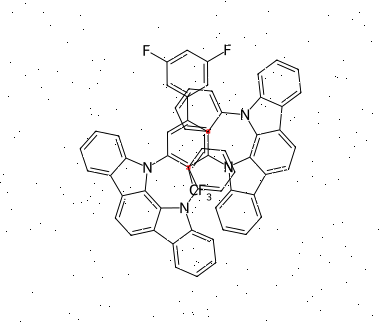 Fc1cc(F)cc(-c2cc(-n3c4ccccc4c4ccc5c6ccccc6n(-c6ccccc6)c5c43)c(C(F)(F)F)c(-n3c4ccccc4c4ccc5c6ccccc6n(-c6ccccc6)c5c43)c2)c1